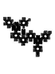 Cc1ccc(-c2nc(-c3ccc(C)cc3)nc(-c3cccc(-c4cccc(-c5cccc(-c6nc(-c7ccc(C)cc7)nc(-c7ccc(C)cc7)n6)c5)c4C#N)c3)n2)cc1